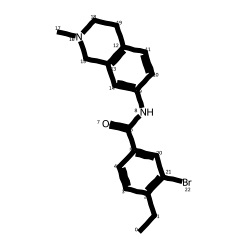 CCc1ccc(C(=O)Nc2ccc3c(c2)CN(C)CC3)cc1Br